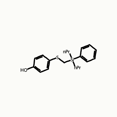 CCC[Si](CCC)(CSc1ccc(O)cc1)c1ccccc1